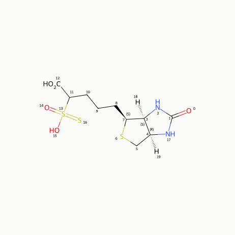 O=C1N[C@H]2[C@H](CS[C@H]2CCCC(C(=O)O)S(=O)(O)=S)N1